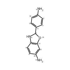 Nc1ccc(C2Nc3ccc(N)cc3O2)cc1